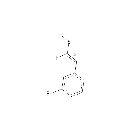 CS/C(I)=C/c1cccc(Br)c1